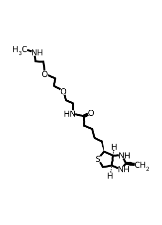 C=C1N[C@H]2[C@H](CS[C@H]2CCCCC(=O)NCCOCCOCCNC)N1